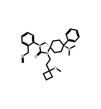 C=NCc1ccccc1N1C[C@]2(CC[C@](c3ccccc3)(N(C)C)CC2)N(CCC2(OC)CCC2)C1=O